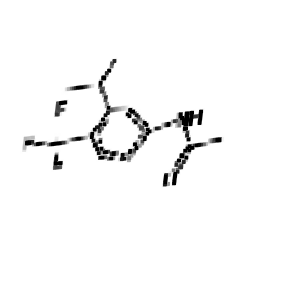 CC(=O)Nc1ccc(C(F)(F)F)c(C(C)C)c1